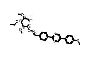 CCO[C@@H]1[C@@H](OC)[C@H](C)O[C@@H](O/N=C/c2ccc(-c3ncc(-c4ccc(SC)cc4)cn3)cc2)[C@@H]1OC